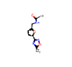 CCCC(=O)NCc1ccc(-c2noc(C(F)(F)F)n2)s1